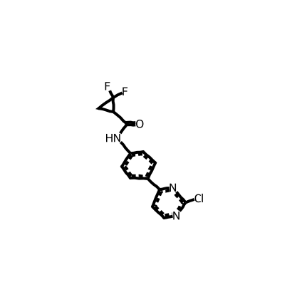 O=C(Nc1ccc(-c2ccnc(Cl)n2)cc1)C1CC1(F)F